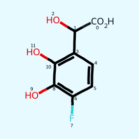 O=C(O)C(O)c1ccc(F)c(O)c1O